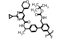 C[C@@H](NC(=O)c1cc(C2=CCOCC2)nc(C2CC2)n1)c1ccc(-c2cc(C(F)(F)F)ccc2CNC(=O)OC(C)(C)C)cc1